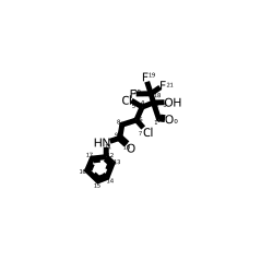 O=[C]C(O)(C(Cl)C(Cl)CC(=O)Nc1ccccc1)C(F)(F)F